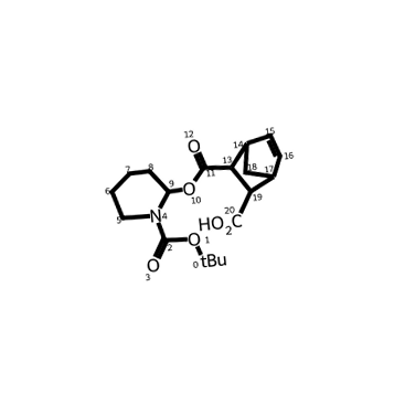 CC(C)(C)OC(=O)N1CCCCC1OC(=O)C1C2C=CC(C2)C1C(=O)O